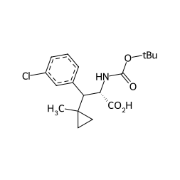 CC(C)(C)OC(=O)N[C@H](C(=O)O)C(c1cccc(Cl)c1)C1(C)CC1